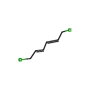 ClCC=CC=CCCl